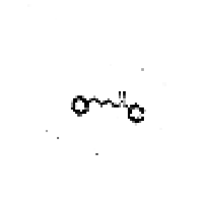 c1ccc(CCCCNc2ccccc2)cc1